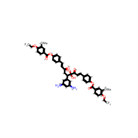 COc1cc(C(=O)Oc2ccc(C=CC(=O)CC(c3cc(N)cc(N)c3)C(O)(O)C(=O)C=Cc3ccc(OC(=O)c4ccc(OCC(F)(F)F)c(OC)c4)cc3)cc2)ccc1OCC(F)(F)F